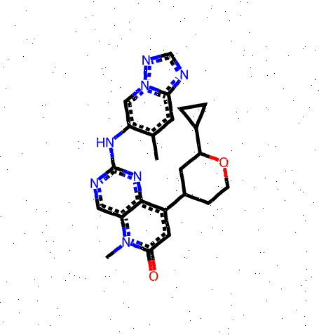 Cc1cc2ncnn2cc1Nc1ncc2c(n1)c(C1CCOC(C3CC3)C1)cc(=O)n2C